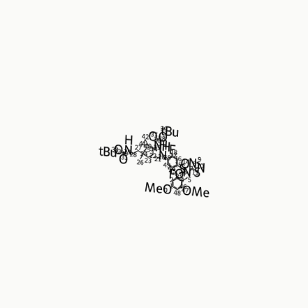 COc1ccc(CN(c2ncns2)S(=O)(=O)c2cc(F)c(NC[C@H](CC(C)(C)CCNC(=O)OC(C)(C)C)[C@H](NC(=O)OC(C)(C)C)C3CC3)cc2F)c(OC)c1